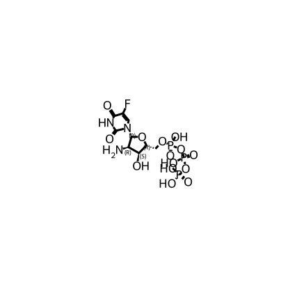 N[C@@H]1[C@H](O)[C@@H](COP(=O)(O)OP(=O)(O)OP(=O)(O)O)O[C@H]1n1cc(F)c(=O)[nH]c1=O